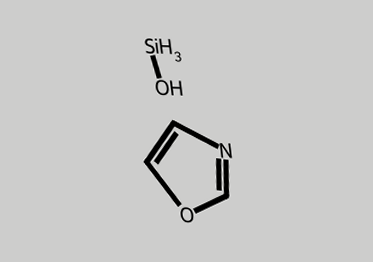 O[SiH3].c1cocn1